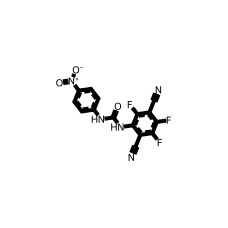 N#Cc1c(F)c(F)c(C#N)c(NC(=O)Nc2ccc([N+](=O)[O-])cc2)c1F